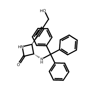 O=C1N[C@@H](C#CCO)[C@@H]1NC(c1ccccc1)(c1ccccc1)c1ccccc1